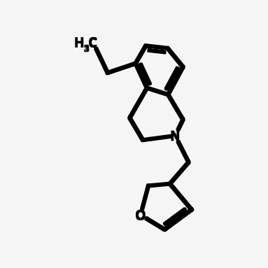 CCc1cccc2c1CCN(CC1C=COC1)C2